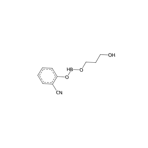 N#Cc1ccccc1OBOCCCO